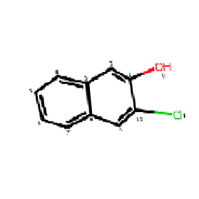 Oc1cc2ccccc2cc1Cl